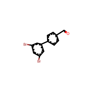 O=Cc1ccc(-c2cc(Br)cc(Br)c2)cc1